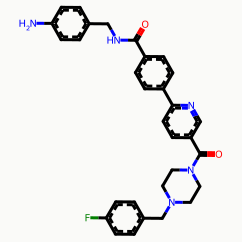 Nc1ccc(CNC(=O)c2ccc(-c3ccc(C(=O)N4CCN(Cc5ccc(F)cc5)CC4)cn3)cc2)cc1